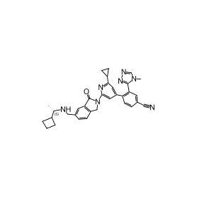 C[C@H](NCc1ccc2c(c1)C(=O)N(c1cc(-c3ccc(C#N)cc3-c3nncn3C)cc(C3CC3)n1)C2)C1CCC1